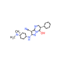 CN(C)c1ccc(Nc2nn3c(O)c(-c4ccccc4)cnc3c2C#N)cc1